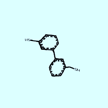 Sc1cccc(-c2cccc(S)c2)c1